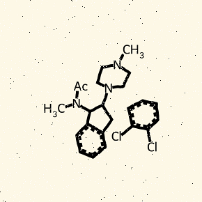 CC(=O)N(C)C1c2ccccc2CC1N1CCN(C)CC1.Clc1ccccc1Cl